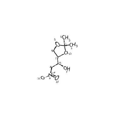 CC1(C)OCC([C@@H](O)C[N+](=O)[O-])O1